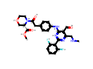 CNCc1nc(-c2c(F)cccc2F)nc(Nc2ccc(CC(=O)N3CCOC[C@H]3C(=O)OC)cc2)c1C=O